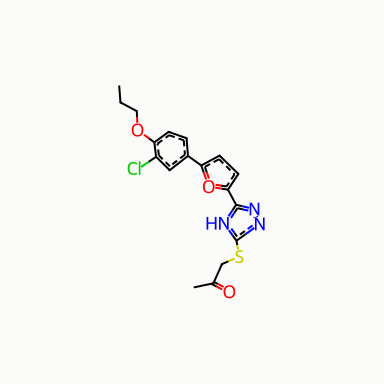 CCCOc1ccc(-c2ccc(-c3nnc(SCC(C)=O)[nH]3)o2)cc1Cl